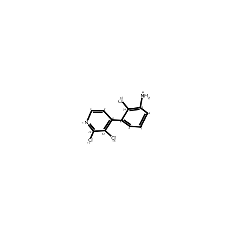 Nc1cccc(-c2ccnc(Cl)c2Cl)c1Cl